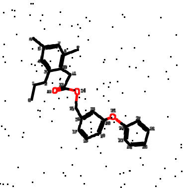 CCCc1cc(C)cc(C)c1CC(=O)OCc1cccc(Oc2ccccc2)c1